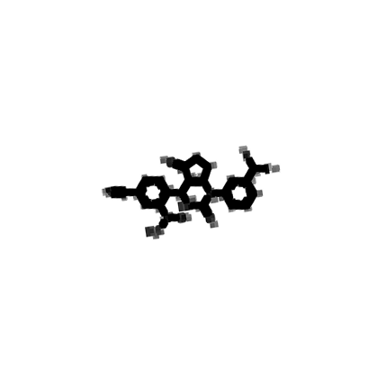 C[S+]([O-])c1cc(C#N)ccc1C1NC(=O)N(c2cccc(C(F)F)c2)C2=C1C(=O)CC2